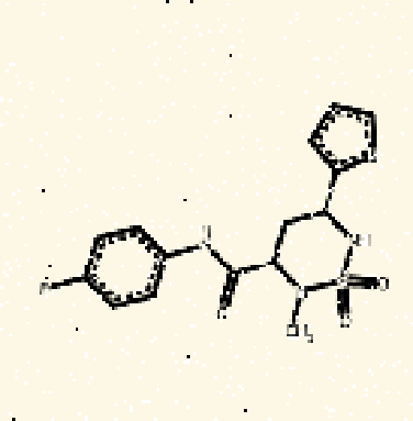 CN1[C@@H](C(=O)Nc2ccc(F)cc2)C[C@@H](c2cccs2)NS1(=O)=O